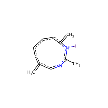 C=c1ccccc(=C)[n+](I)c(C)nc1